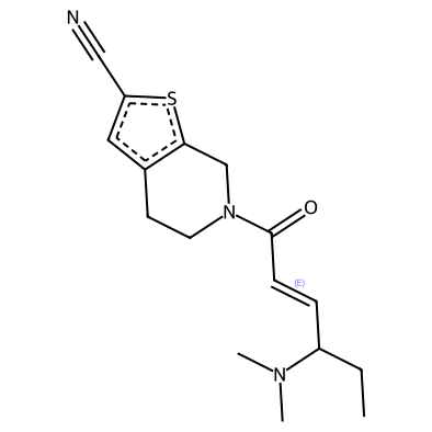 CCC(/C=C/C(=O)N1CCc2cc(C#N)sc2C1)N(C)C